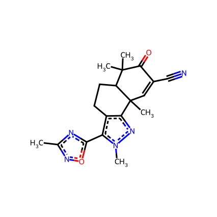 Cc1noc(-c2c3c(nn2C)C2(C)C=C(C#N)C(=O)C(C)(C)C2CC3)n1